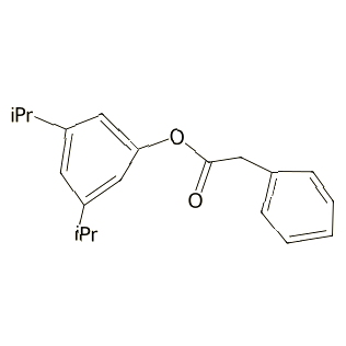 CC(C)c1cc(OC(=O)Cc2ccccc2)cc(C(C)C)c1